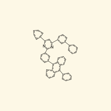 c1ccc(-c2cccc(-c3cc(-c4ccccc4)nc(-c4cccc(-c5c6ccccc6c(-c6ccccc6)c6ccccc56)c4)n3)c2)cc1